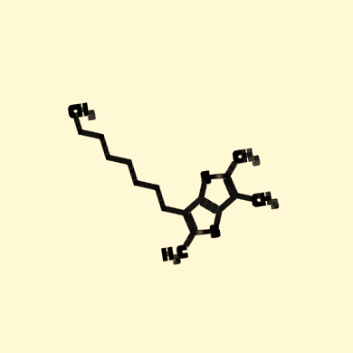 CCCCCCCCc1c(C)sc2c(C)c(C)sc12